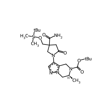 C[C@H]1Cn2ncc(N3CC(CO[Si](C)(C)C(C)(C)C)(C(N)=O)CC3=O)c2CN1C(=O)OC(C)(C)C